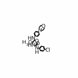 C[C@@H](NC(=O)Nc1ccc(Cl)cc1)C(=O)Nc1ccc(N2CCOCC2)cc1